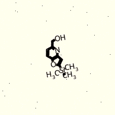 C[Si](C)(C)c1cc2nc(CO)ccc2o1